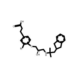 CC(C)(CC1Cc2ccccc2C1)NC[C@@H](O)COc1ccc(CCC(=O)O)cc1Br